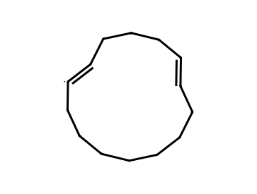 [C]1=C/CCC/C=C/CCCCCCC/1